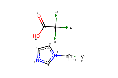 CCCn1ccnc1.O=C(O)C(F)(F)F.[F].[V]